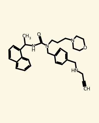 C#CCNCc1ccc(CN(CCCN2CCOCC2)C(=O)NC(C)c2cccc3ccccc23)cc1